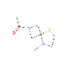 CC(=O)N1CC2(C1)SCCN2C